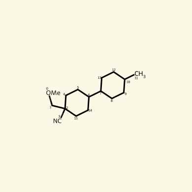 COCC1(C#N)CCC(C2CCC(C)CC2)CC1